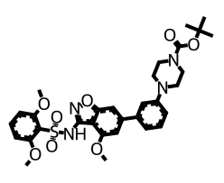 COc1cccc(OC)c1S(=O)(=O)Nc1noc2cc(-c3cccc(N4CCN(C(=O)OC(C)(C)C)CC4)c3)cc(OC)c12